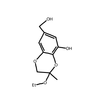 CCOC1(C)COc2cc(CO)cc(O)c2O1